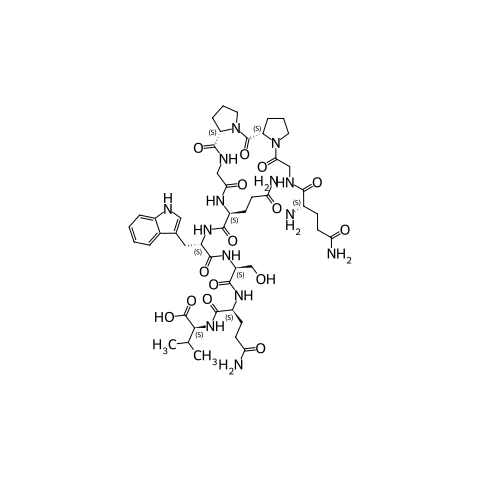 CC(C)[C@H](NC(=O)[C@H](CCC(N)=O)NC(=O)[C@H](CO)NC(=O)[C@H](Cc1c[nH]c2ccccc12)NC(=O)[C@H](CCC(N)=O)NC(=O)CNC(=O)[C@@H]1CCCN1C(=O)[C@@H]1CCCN1C(=O)CNC(=O)[C@@H](N)CCC(N)=O)C(=O)O